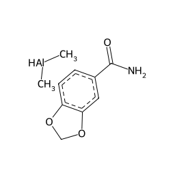 NC(=O)c1ccc2c(c1)OCO2.[CH3][AlH][CH3]